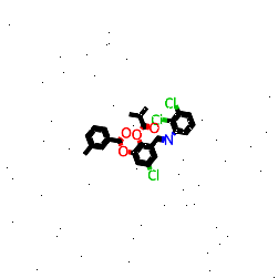 Cc1cccc(C(=O)Oc2cc(Cl)cc(C=Nc3cccc(Cl)c3Cl)c2OC(=O)C(C)C)c1